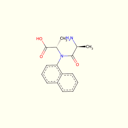 C[C@H](N)C(=O)N(c1cccc2ccccc12)[C@@H](C)C(=O)O